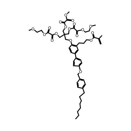 C=C(C)C(=O)OCCCc1cc(-c2ccc(OCc3ccc(CCCCCCCC)cc3)cc2)ccc1OCC(COC(=O)C(=O)OC)(COC(=O)C(=O)OCCOC)COC(=O)C(=O)OCCOC